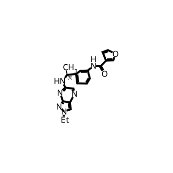 CCn1cc2ncc(N[C@@H](C)c3cccc(NC(=O)c4ccoc4)c3)nc2n1